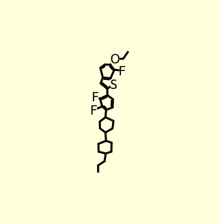 CCCC1CCC(C2CCC(c3ccc(-c4cc5ccc(OCC)c(F)c5s4)c(F)c3F)CC2)CC1